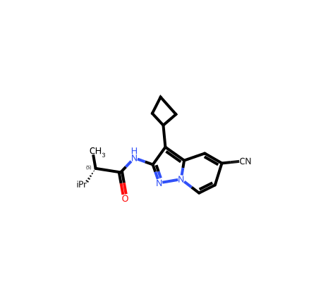 CC(C)[C@H](C)C(=O)Nc1nn2ccc(C#N)cc2c1C1CCC1